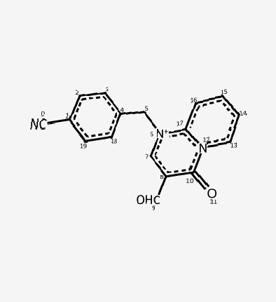 N#Cc1ccc(C[n+]2cc(C=O)c(=O)n3ccccc32)cc1